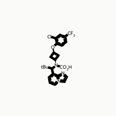 CC(C)(C)C(c1cccn2ccnc12)N(C(=O)O)[C@H]1C[C@H](Oc2ccc(C(F)(F)F)cc2Cl)C1